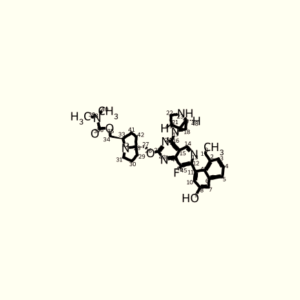 CCc1cccc2cc(O)cc(-c3ncc4c(N5C[C@H]6C[C@@H]5CN6)nc(OC[C@]56CCCN5[C@@H](COC(=O)N(C)C)CC6)nc4c3F)c12